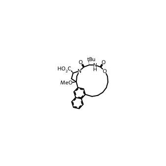 CO[C@@]12C[C@@H](C(=O)O)N(C1)C(=O)[C@H](C(C)(C)C)NC(=O)OCCCCCCc1cc2cc2ccccc12